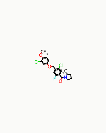 O=C(O)C1CCCN1C(=O)c1cc(Cl)c(COc2ccc(OC(F)(F)F)c(Cl)c2)cc1F